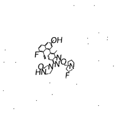 C#Cc1c(F)ccc2cc(O)cc(-c3ccc4c(N5CCCNC(=O)C5)nc(OC[C@@]56CCCN5C[C@H](F)C6)nc4c3C)c12